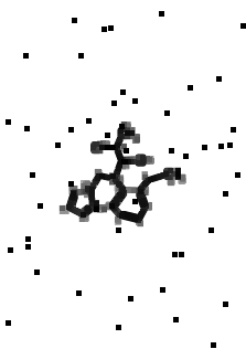 CCc1ccccc1N(Cn1cccn1)C(=O)C(C)Cl